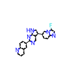 Fc1cnc2ccc(-c3c[nH]c4nc(-c5ccc6ncccc6c5)ncc34)cn12